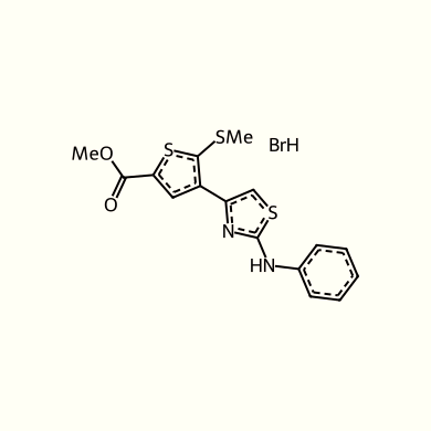 Br.COC(=O)c1cc(-c2csc(Nc3ccccc3)n2)c(SC)s1